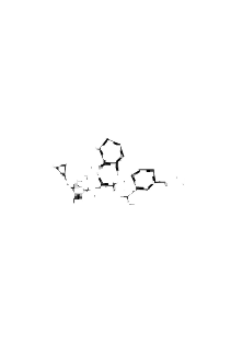 N#Cc1cccc(C(Oc2nc3ccccc3nc2NS(=O)(=O)NC2CC2)C(F)(F)F)c1